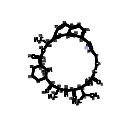 CC(C)[C@@H]1NC(=O)CCC/C=C/c2cc3cc(ccc3cn2)[C@@H](C)OC(=O)[C@@H]2CCCN(N2)C(=O)[C@H](C)NC1=O